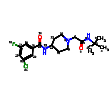 CC(C)(C)NC(=O)CN1CCC(NC(=O)c2cc(F)cc(Cl)c2)CC1